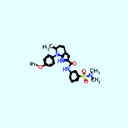 C=C1C=Cc2cc(C(=O)Nc3cccc(S(=O)(=O)N(C)C)c3)[nH]c2N1c1ccc(OC(C)C)cc1